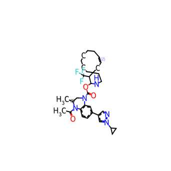 CC(=O)N1c2ccc(-c3cnn(C4CC4)c3)cc2N(C(=O)OC2NCCC3(C/C=C\CCCCCC3)C2C(F)(F)F)C[C@@H]1C